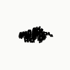 CC(Sc1ccc(S(=O)(=O)C[C@H]2CCCC[C@@H]2C(=O)NCC#N)cc1)c1ccccn1